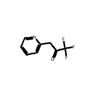 O=C(Cc1ccccn1)C(F)(F)F